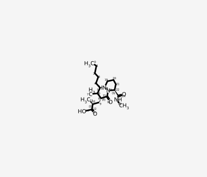 CCCCCCC(C)[C@@H](C[C@H](C)C(=O)O)C(=O)N1NCCC[C@H]1C(=O)NC